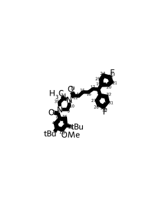 COc1c(C(C)(C)C)cc(C(=O)N2CCN(C(=O)CCCCC(c3ccc(F)cc3)c3ccc(F)cc3)C(C)C2)cc1C(C)(C)C